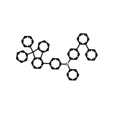 c1ccc(-c2ccccc2-c2ccc(N(c3ccccc3)c3ccc(-c4cccc5c4-c4ccccc4C5(c4ccccc4)c4ccccc4)cc3)cc2)cc1